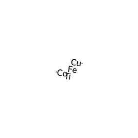 [Co].[Cu].[Fe].[Ti]